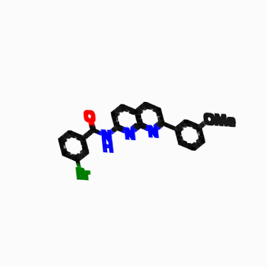 COc1cccc(-c2ccc3ccc(NC(=O)c4cccc(Br)c4)nc3n2)c1